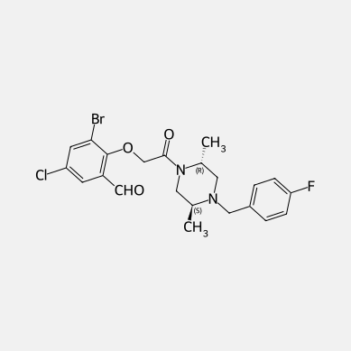 C[C@@H]1CN(Cc2ccc(F)cc2)[C@@H](C)CN1C(=O)COc1c(Br)cc(Cl)cc1C=O